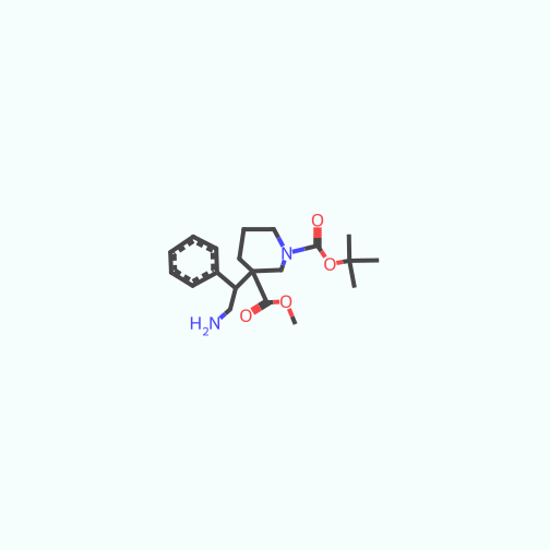 COC(=O)C1(C(CN)c2ccccc2)CCCN(C(=O)OC(C)(C)C)C1